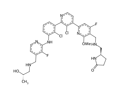 COc1nc(-c2ccnc(-c3cccc(Nc4nccc(CNC[C@H](C)O)c4F)c3Cl)c2Cl)cc(F)c1CNC[C@H]1CCC(=O)N1